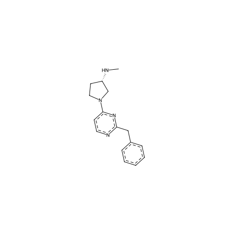 CN[C@H]1CCN(c2ccnc(Cc3ccccc3)n2)C1